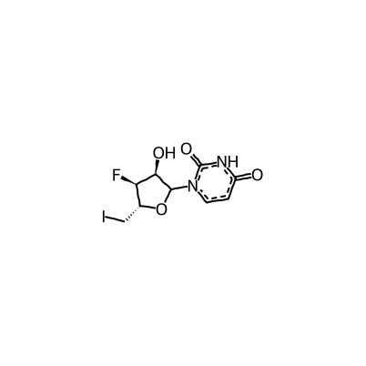 O=c1ccn(C2O[C@H](CI)[C@@H](F)[C@H]2O)c(=O)[nH]1